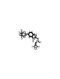 CN(Cc1nc2ccc(B3OC(C)(C)C(C)(C)O3)cc2n1C)CC1COC1